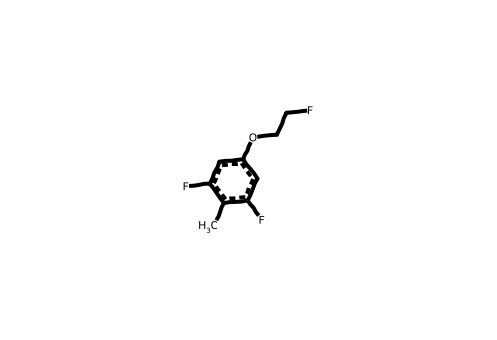 Cc1c(F)cc(OCCF)cc1F